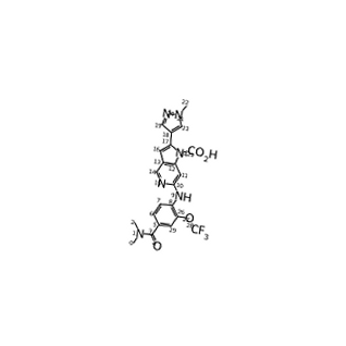 CN(C)C(=O)c1ccc(Nc2cc3c(cn2)cc(-c2cnn(C)c2)n3C(=O)O)c(OC(F)(F)F)c1